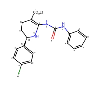 CCOC(=O)C1=C(NC(=O)Nc2ccccc2)N[C@@H](c2ccc(F)cc2)CC1